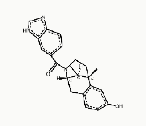 C[C@@H]1[C@@H]2Cc3ccc(O)cc3[C@@]1(C)CCN2C(=O)c1ccc2nc[nH]c2c1